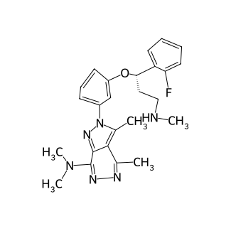 CNCC[C@H](Oc1cccc(-n2nc3c(N(C)C)nnc(C)c3c2C)c1)c1ccccc1F